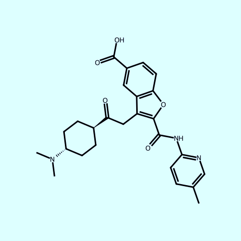 Cc1ccc(NC(=O)c2oc3ccc(C(=O)O)cc3c2CC(=O)[C@H]2CC[C@H](N(C)C)CC2)nc1